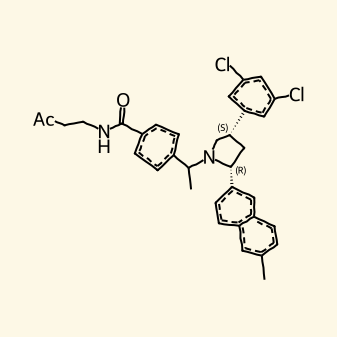 CC(=O)CCNC(=O)c1ccc(C(C)N2C[C@H](c3cc(Cl)cc(Cl)c3)C[C@@H]2c2ccc3cc(C)ccc3c2)cc1